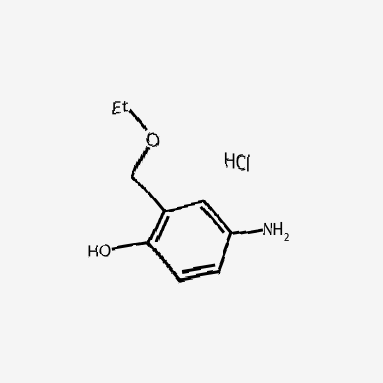 CCOCc1cc(N)ccc1O.Cl